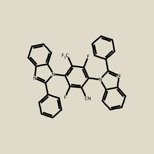 N#Cc1c(F)c(-n2c(-c3ccccc3)nc3ccccc32)c(C(F)(F)F)c(F)c1-n1c(-c2ccccc2)nc2ccccc21